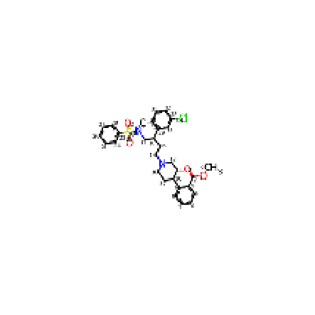 COC(=O)c1ccccc1C1CCN(CCC(CN(C)S(=O)(=O)c2ccccc2)c2cccc(Cl)c2)CC1